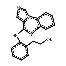 CCCc1ccccc1Nc1nc2ccccc2n2cncc12